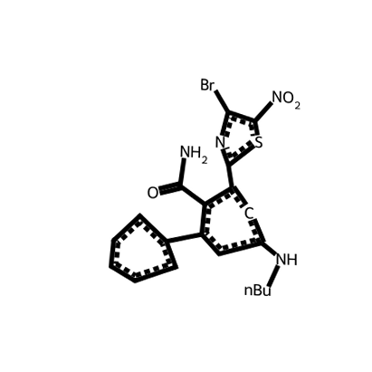 CCCCNc1cc(-c2ccccc2)c(C(N)=O)c(-c2nc(Br)c([N+](=O)[O-])s2)c1